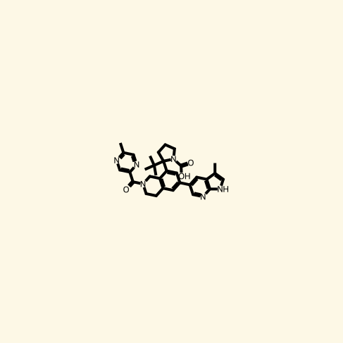 Cc1cnc(C(=O)N2CCc3cc(-c4cnc5[nH]cc(C)c5c4)cc(C4(C(C)(C)C)CCCN4C(=O)O)c3C2)cn1